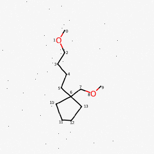 COCCCCC1(COC)CCCC1